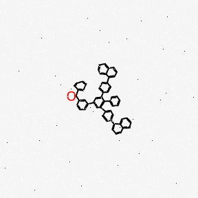 O=C(c1ccccc1)c1cccc(-c2cc(-c3ccc(-c4cccc5ccccc45)cc3)c(-c3ccccc3)c(-c3ccc(-c4cccc5ccccc45)cc3)c2)c1